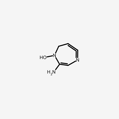 NC1=CN=C=CCN1O